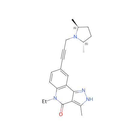 CCn1c(=O)c2c(C)[nH]nc2c2cc(C#CCN3[C@@H](C)CC[C@@H]3C)ccc21